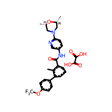 Cc1c(C(=O)Nc2ccc(N3C[C@@H](C)O[C@@H](C)C3)nc2)cccc1-c1ccc(OC(F)(F)F)cc1.O=C(O)C(=O)O